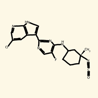 C[C@@]1(N=C=O)CCCC(Nc2nc(-c3c[nH]c4ncc(Cl)cc34)ncc2F)C1